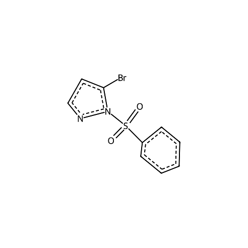 O=S(=O)(c1ccccc1)n1nccc1Br